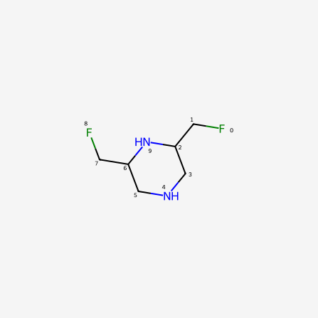 FCC1CNCC(CF)N1